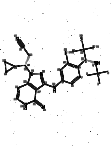 CC(C)(C)N[C@H](c1ccc(Nc2nn([C@@H](CC#N)C3CC3)c3cc[nH]c(=O)c23)cc1F)C(F)(F)F